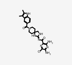 Cc1[nH]c2ccc(C(=O)N3CCC4(CC3)CN/C(=N\C(=O)c3nc(Cl)c(N)nc3N)N4)cc2c1C